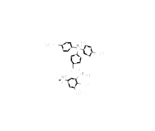 CC(C)(C)c1cc(S(=O)(=O)[O-])cc(C(C)(C)C)c1O.Cc1ccc([P+](C)(c2ccc(C)cc2)c2ccc(C)cc2)cc1